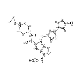 O=C(O)Oc1scc2c1nc(C(=O)NC1CCN(C3CC3)CC1)n2Cc1cc(-c2ccc(Cl)s2)on1